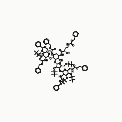 CC(C)(C)[Si](C)(C)OC[C@H]1O[C@@H](O[C@@H]2[C@@H](O)[C@H](NC(=O)[C@@H](O)CCNC(=O)OCc3ccccc3)C[C@H](NC(=O)OCc3ccccc3)[C@H]2O[C@H]2O[C@@H]3COC(c4ccccc4)O[C@H]3[C@H](O[Si](C)(C)C(C)(C)C)[C@H]2NC(=O)OCc2ccccc2)[C@H](O[Si](C)(C)C(C)(C)C)[C@@H]1O[C@H]1O[C@@H](CNC(=O)OCc2ccccc2)[C@@H](O[Si](C)(C)C(C)(C)C)[C@H](O[Si](C)(C)C(C)(C)C)[C@H]1NC(=O)OCc1ccccc1